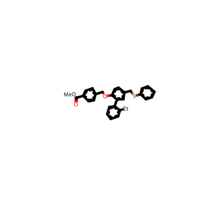 CCc1ccccc1-c1cc(CSc2ccccc2)ccc1OCc1ccc(C(=O)OC)cc1